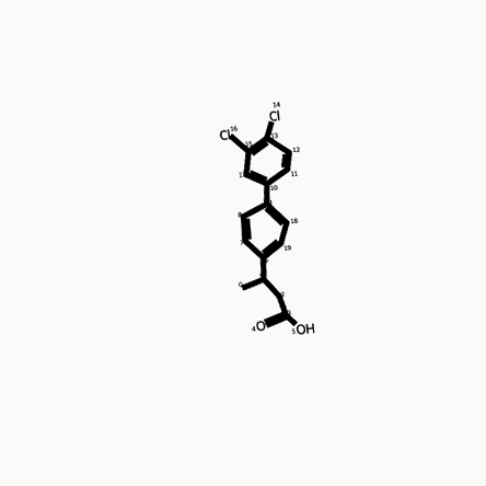 CC(CC(=O)O)c1ccc(-c2ccc(Cl)c(Cl)c2)cc1